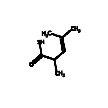 CC(C)=CC(C)C(=O)S